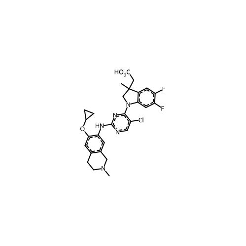 CN1CCc2cc(OC3CC3)c(Nc3ncc(Cl)c(N4CC(C)(CC(=O)O)c5cc(F)c(F)cc54)n3)cc2C1